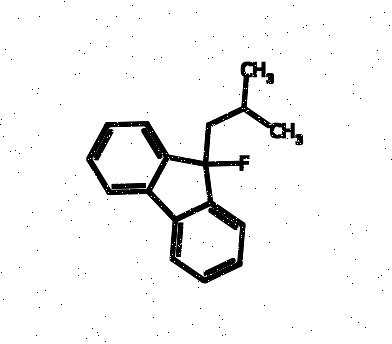 CC(C)CC1(F)c2ccccc2-c2ccccc21